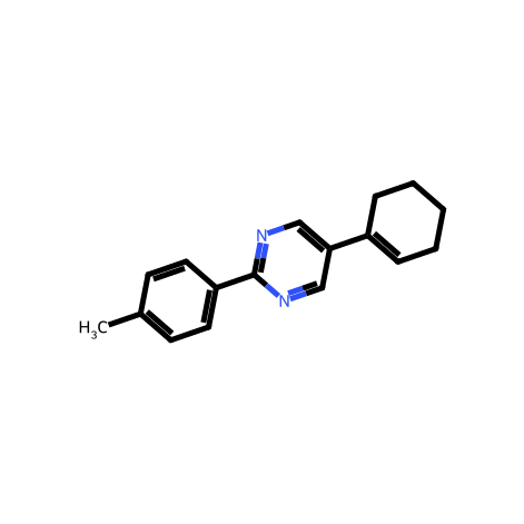 Cc1ccc(-c2ncc(C3=CCCCC3)cn2)cc1